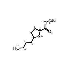 CC(C)(C)OC(=O)C1CCC(CCCO)S1